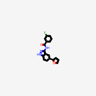 O=C(Nc1n[nH]c2ccc(-c3ccco3)cc12)c1cccc(F)c1